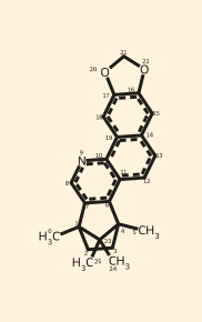 CC12CCC(C)(c3c1cnc1c3ccc3cc4c(cc31)OCO4)C2(C)C